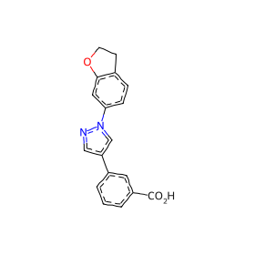 O=C(O)c1cccc(-c2cnn(-c3ccc4c(c3)OCC4)c2)c1